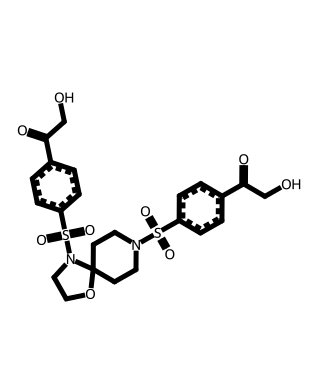 O=C(CO)c1ccc(S(=O)(=O)N2CCC3(CC2)OCCN3S(=O)(=O)c2ccc(C(=O)CO)cc2)cc1